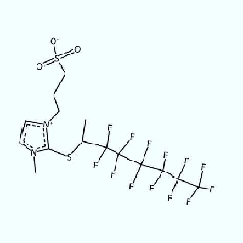 CC(Sc1n(C)cc[n+]1CCCS(=O)(=O)[O-])C(F)(F)C(F)(F)C(F)(F)C(F)(F)C(F)(F)C(F)(F)F